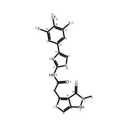 Cn1[nH]c2csc(CC(=O)Nc3nc(-c4cc(F)c(C(F)(F)F)c(F)c4)cs3)c2c1=O